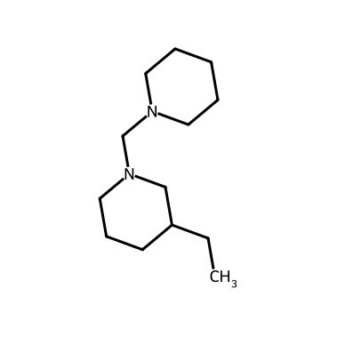 CCC1CCCN(CN2CCCCC2)C1